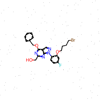 OCc1nc(OCc2ccccc2)c2cnn(-c3ccc(F)cc3OCCCCBr)c2n1